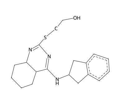 OCCSC1=NC2CCCCC2C(NC2Cc3ccccc3C2)=N1